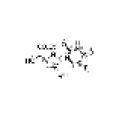 CCOC(=O)N1[C@H](CO)C[C@@H](O)[C@H]1n1cc(F)c(=O)[nH]c1=O